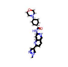 Cn1cc(-c2ccc3cnc(NC(=O)[C@H]4CC[C@H](N5CCOCC5)CC4)cc3n2)cn1